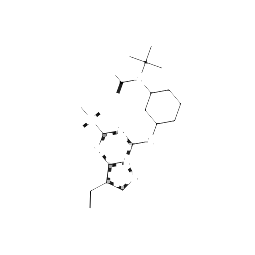 CCc1cnn2c(NC3CCCC(N(C(=O)O)C(C)(C)C)C3)nc(S(C)(=O)=O)nc12